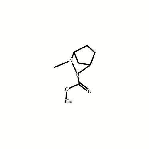 CN1C2CCC(C2)N1C(=O)OC(C)(C)C